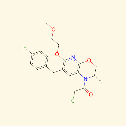 COCCOc1nc2c(cc1Cc1ccc(F)cc1)N(C(=O)CCl)[C@@H](C)CO2